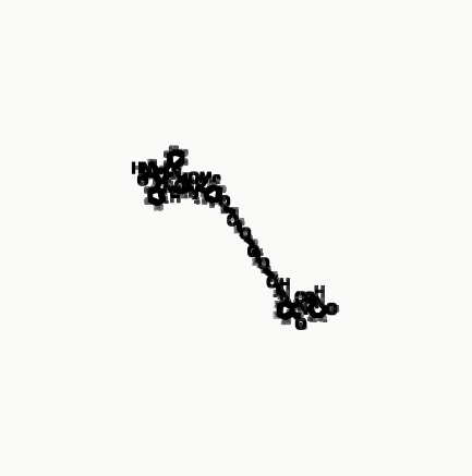 CO[C@@H]1[C@H](N(C)C(=O)c2ccc(OCCOCCOCCOCCOCCOCCNc3cccc4c3C(=O)N(C3CCC(=O)NC3=O)C4=O)cc2)C[C@H]2O[C@]1(C)n1c3ccccc3c3c4c(c5c6ccccc6n2c5c31)C(=O)NC4